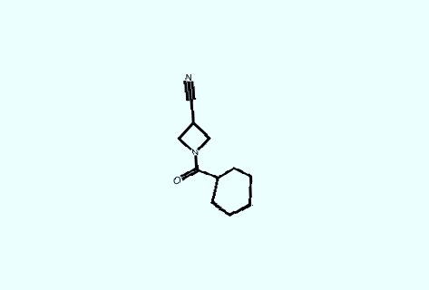 N#CC1CN(C(=O)C2CC[CH]CC2)C1